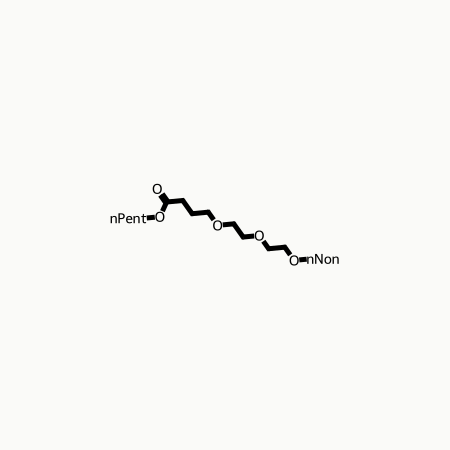 CCCCCCCCCOCCOCCOCCCC(=O)OCCCCC